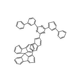 c1ccc(-c2cccc(-c3nc(-c4cccc(-c5ccccc5)c4)nc(-c4ccc5cc(-c6cccc7c6C6(c8ccccc8-c8ccccc86)c6ccccc6-7)ccc5c4)n3)c2)cc1